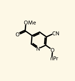 CCCOc1ncc(C(=O)OC)cc1C#N